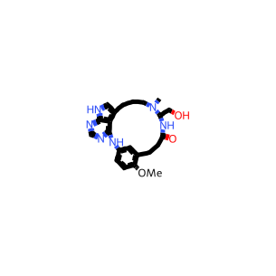 COc1ccc2cc1CCC(=O)NC(CO)N(C)CCCc1c[nH]c3ncnc(c13)N2